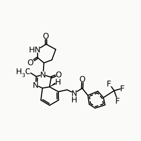 CC1=NC2C=CC=C(CNC(=O)c3cccc(C(F)(F)F)c3)[C@H]2C(=O)N1C1CCC(=O)NC1=O